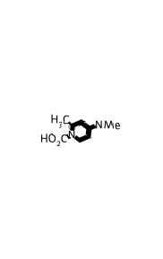 CNC1CCN(C(=O)O)[C@@H](C)C1